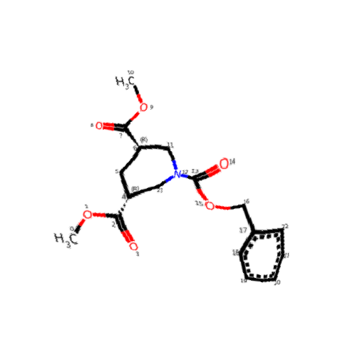 COC(=O)[C@@H]1C[C@@H](C(=O)OC)CN(C(=O)OCc2ccccc2)C1